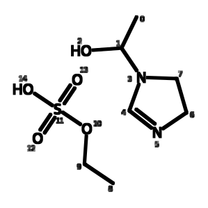 CC(O)N1C=NCC1.CCOS(=O)(=O)O